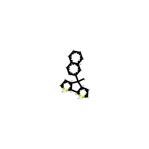 CC1(c2ccc3ccccc3c2)c2ccsc2-c2sccc21